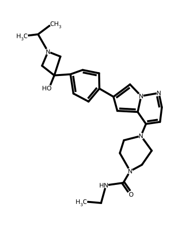 CCNC(=O)N1CCN(c2ccnn3cc(-c4ccc(C5(O)CN(C(C)C)C5)cc4)cc23)CC1